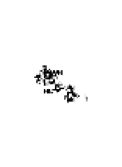 Nc1ncnc2c1ncn2[C@H]1C[C@H](O)[C@@H](C(Br)OP(=O)(O)OP(=O)(O)OP(=O)(O)O)O1